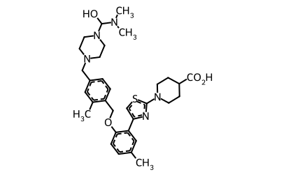 Cc1ccc(OCc2ccc(CN3CCN(C(O)N(C)C)CC3)cc2C)c(-c2csc(N3CCC(C(=O)O)CC3)n2)c1